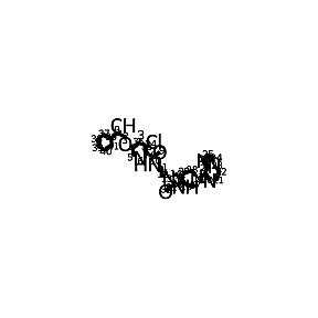 CC(COc1cnc(C(=O)NCCN2CC3(CCN(c4nccn5ccnc45)CC3)NC2=O)c(Cl)c1)c1ccccc1